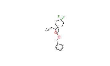 CC(=O)CC(=O)C1(CCOCc2ccccc2)CCC(F)(F)CC1